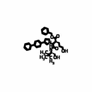 CC(C)(C)[C@@H](CO)NC(=O)[C@@H]([C@H](CCCO)C(=O)OCc1ccccc1)n1ccc(-c2ccc(-c3ccccc3)cc2)c1